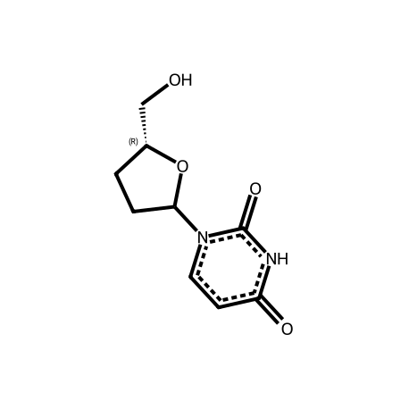 O=c1ccn(C2CC[C@H](CO)O2)c(=O)[nH]1